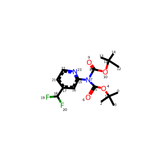 CC(C)(C)OC(=O)N(C(=O)OC(C)(C)C)c1cc(C(F)F)ccn1